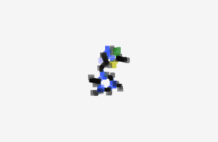 C=C(Cl)S/C(=C\N)CN1CN(C)CN(C)C1=C